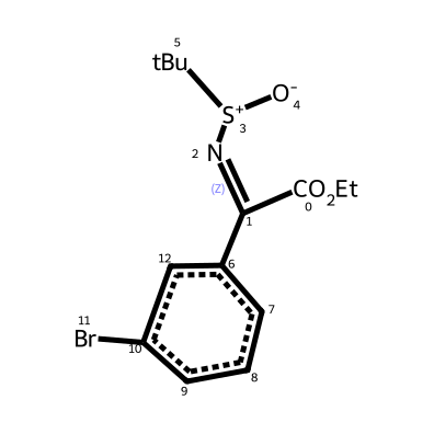 CCOC(=O)/C(=N\[S+]([O-])C(C)(C)C)c1cccc(Br)c1